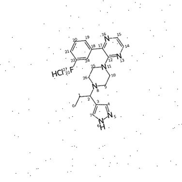 CCC(c1cn[nH]c1)N1CCN(c2nccnc2-c2cccc(F)c2)CC1.Cl